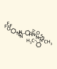 CCc1ccccc1-n1c(C)cs/c1=N\C(=O)NC1(c2ccc(-c3ncn(-c4ccc(OC(F)(F)F)cc4)n3)cc2)CC1